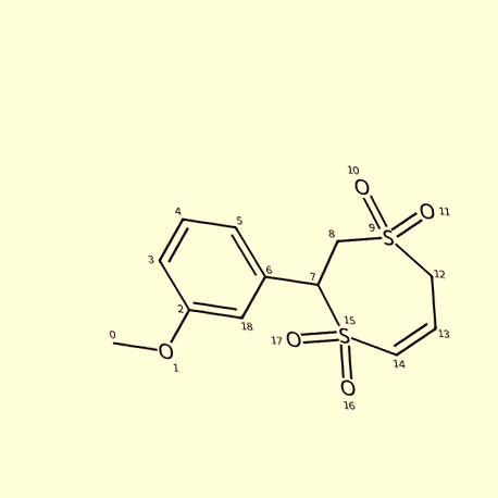 COc1cccc(C2CS(=O)(=O)CC=CS2(=O)=O)c1